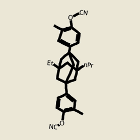 CCCC12CC3(CC)CC(c4ccc(OC#N)c(C)c4)(C1)CC(c1ccc(OC#N)c(C)c1)(C3)C2